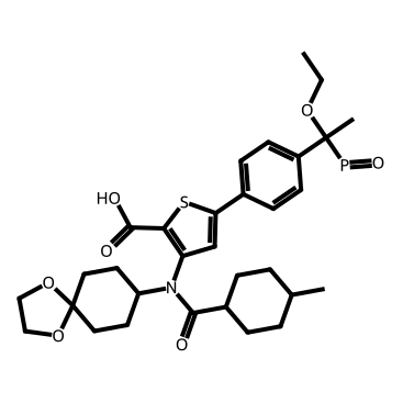 CCOC(C)(P=O)c1ccc(-c2cc(N(C(=O)C3CCC(C)CC3)C3CCC4(CC3)OCCO4)c(C(=O)O)s2)cc1